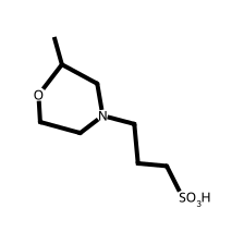 CC1CN(CCCS(=O)(=O)O)CCO1